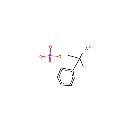 CC(C)(C)c1ccccc1.O=P([O-])([O-])[O-].[Al+3]